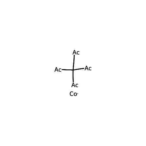 CC(=O)C(C(C)=O)(C(C)=O)C(C)=O.[Co]